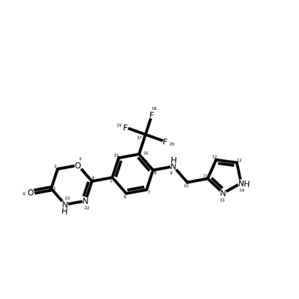 O=C1COC(c2ccc(NCc3cc[nH]n3)c(C(F)(F)F)c2)=NN1